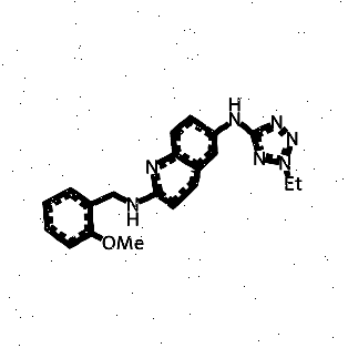 CCn1nnc(Nc2ccc3nc(NCc4ccccc4OC)ccc3c2)n1